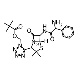 CC(C)(C)C(=O)OCn1nnnc1C1N2C(=O)C(NC(=O)C(N)c3ccccc3)[C@@H]2SC1(C)C